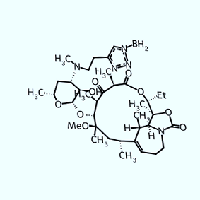 Bn1cc(CCN(C)[C@H]2C[C@@H](C)O[C@@H](O[C@@H]3[C@@H](C)C(=O)[C@@H](C)C(=O)O[C@H](CC)[C@@]4(C)OC(=O)N5CCC=C([C@H](C)C[C@@]3(C)OC)[C@H](C)[C@H]54)[C@@H]2O)nn1